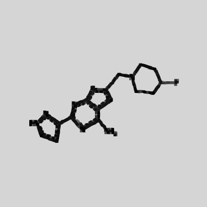 Nc1nc(-c2cc[nH]n2)nc2sc(CN3CCC(F)CC3)cc12